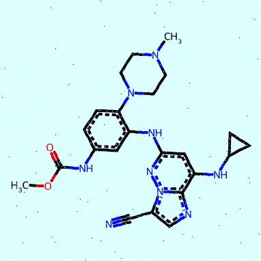 COC(=O)Nc1ccc(N2CCN(C)CC2)c(Nc2cc(NC3CC3)c3ncc(C#N)n3n2)c1